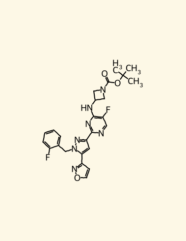 CC(C)(C)OC(=O)N1CC(Nc2nc(-c3cc(-c4ccon4)n(Cc4ccccc4F)n3)ncc2F)C1